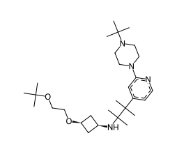 CC(C)(C)OCCO[C@H]1C[C@@H](NC(C)(C)C(C)(C)c2ccnc(N3CCN(C(C)(C)C)CC3)c2)C1